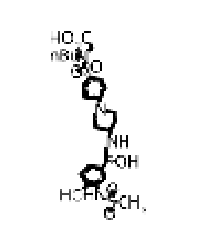 CCCCN(CC(=O)O)S(=O)(=O)c1ccc(N2CCC(NC[C@@H](O)c3ccc(O)c(NS(C)(=O)=O)c3)CC2)cc1